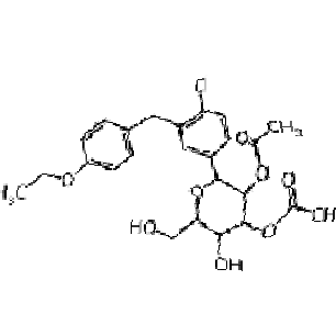 CCOc1ccc(Cc2cc(C3OC(CO)C(O)C(OC(C)=O)C3OC(C)=O)ccc2Cl)cc1